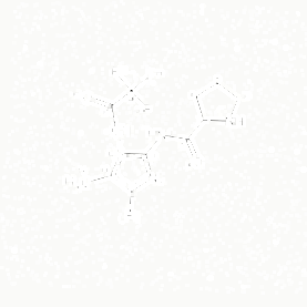 CCc1nc(NC(=O)C2CCCN2)sc1C.O=C(O)C(F)(F)F